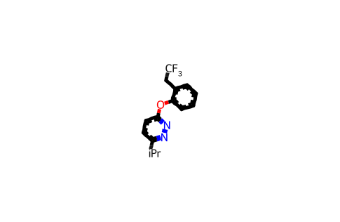 CC(C)c1ccc(Oc2ccccc2CC(F)(F)F)nn1